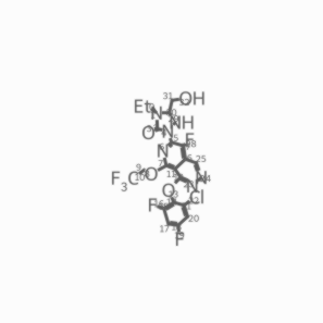 CCN1C(=O)N(c2nc(OCC(F)(F)F)c3c(Oc4c(F)cc(F)cc4Cl)nncc3c2F)NC1CO